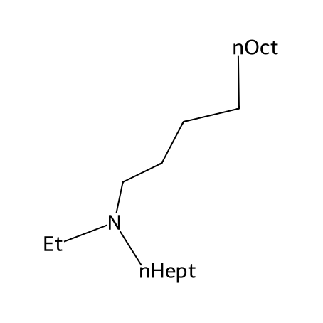 CCCCCCCCCCCCN(CC)CCCCCCC